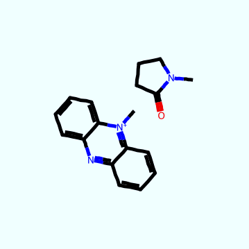 CN1CCCC1=O.C[n+]1c2ccccc2nc2ccccc21